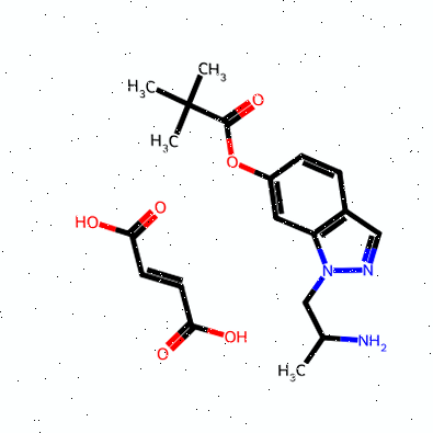 CC(N)Cn1ncc2ccc(OC(=O)C(C)(C)C)cc21.O=C(O)C=CC(=O)O